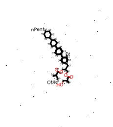 C=C(CO)C(=O)OCC(COC(=O)C(=C)COC)Cc1ccc(-c2ccc(C3CCC(C4CCC(CCCCC)CC4)CC3)cc2)c(CC)c1